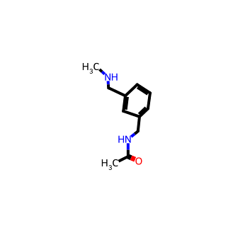 CNCc1cccc(CNC(C)=O)c1